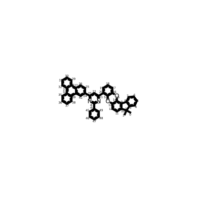 CC1(C)c2ccccc2-c2c1ccc1c2Oc2cccc(-c3cc(-c4ccc5c6ccccc6c6ccccc6c5c4)nc(-c4ccccc4)n3)c2O1